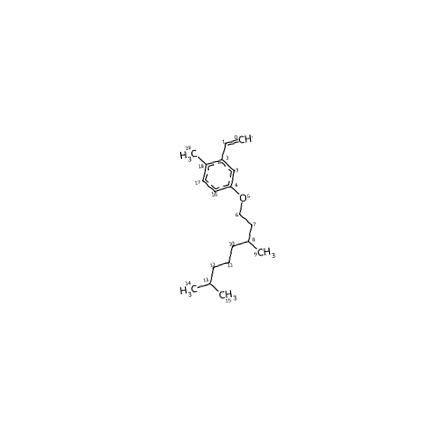 [CH]=Cc1cc(OCCC(C)CCCC(C)C)[c]cc1C